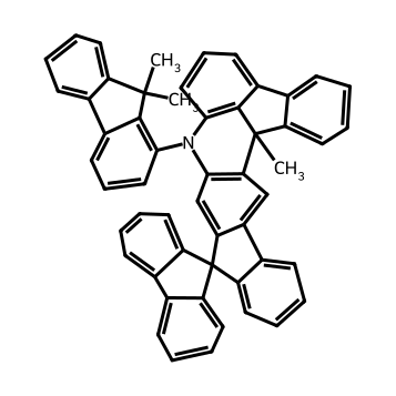 CC1(C)c2ccccc2-c2cccc(N3c4cc5c(cc4C4(C)c6ccccc6-c6cccc3c64)-c3ccccc3C53c4ccccc4-c4ccccc43)c21